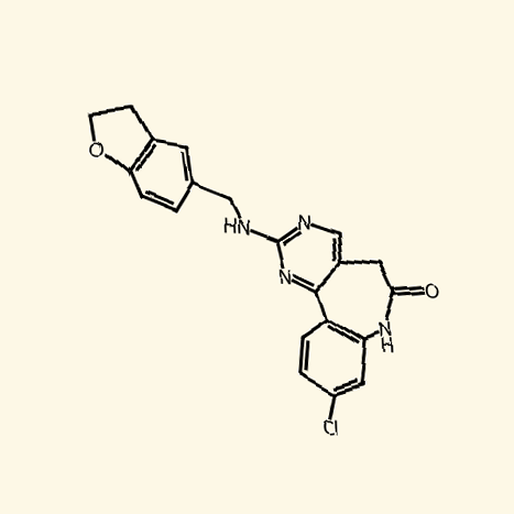 O=C1Cc2cnc(NCc3ccc4c(c3)CCO4)nc2-c2ccc(Cl)cc2N1